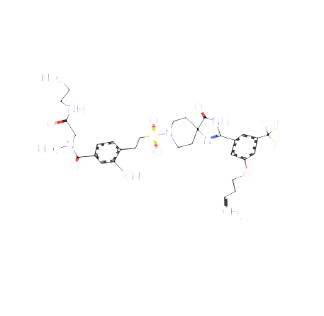 C=CCCOc1cc(C2=NC3(CCN(S(=O)(=O)CCc4ccc(C(=O)N(C)CC(=O)NCCC)cc4C)CC3)C(=O)N2)cc(C(F)(F)F)c1